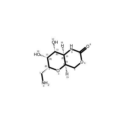 NC[C@H]1O[C@@H]2COC(=O)N[C@@H]2[C@@H](O)[C@H]1O